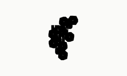 c1ccc(C2N=C(c3cccc4c3oc3ccccc34)NC(c3cccc4c3sc3c(-c5cccc6c5oc5ccccc56)cccc34)N2)cc1